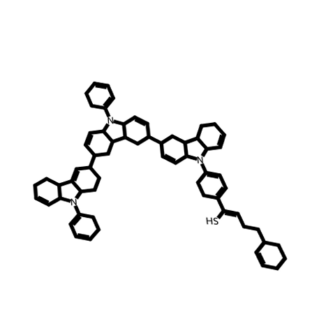 S/C(=C\CCC1C=CCCC1)C1=CC=C(N2C3C=CCCC3C3CC(C4C=CC5C(C4)C4CC(C6C=C7C8CCC=CC8N(C8=CC=CCC8)C7CC6)C=CC4N5C4=CC=CCC4)C=CC32)CC1